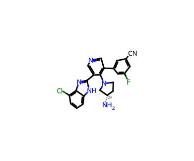 N#Cc1cc(F)cc(-c2cncc(-c3nc4c(Cl)cccc4[nH]3)c2N2CC[C@H](N)C2)c1